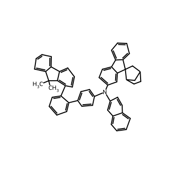 CC1(C)c2ccccc2-c2cccc(-c3ccccc3-c3ccc(N(c4ccc5c(c4)C4(CC6CCC4C6)c4ccccc4-5)c4ccc5ccccc5c4)cc3)c21